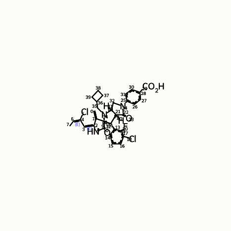 C=C1/C(=C\C(Cl)=C/C)NC(=O)[C@@]12[C@H](c1cccc(Cl)c1F)[C@H]1C(=O)N(c3ccc(C(=O)O)cc3)C[C@H]1N2CC1CCC1